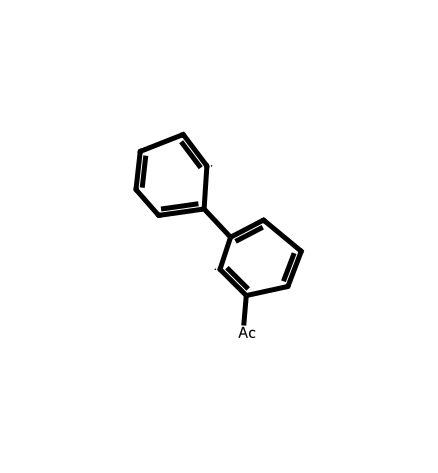 CC(=O)c1[c]c(-c2[c]cccc2)ccc1